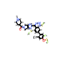 CCc1cc(OSF)c(F)cc1-c1ccc(C(=N)c2nc3c(n2SF)CN(C(=O)C2CCN(C)CC2)C3)c(NSF)c1